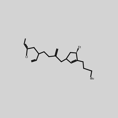 C=CC(CCC(=C)CC1C=C(CCCC(C)CC)[C@H](CC)C1)C/C(Cl)=C\C